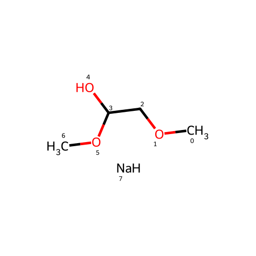 COCC(O)OC.[NaH]